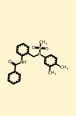 Cc1ccc(N(Cc2ccccc2NC(=O)c2ccccc2)S(C)(=O)=O)cc1C